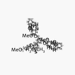 COCCOCCOCCN(CC(C)(C)S(C)=S)[C@@H]1C=C(COC2=C(OC)C[C@H]3C(=O)N4[C@H](C=NC3C2)CC2=CCCC[C@@H]24)CC(COC2=C(OC)C[C@@H]3C(=O)N4[C@@H]5CCCC=C5C[C@@H]4C=N[C@@H]3C2)C1